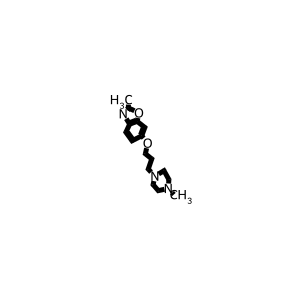 Cc1nc2ccc(OCCCN3CCN(C)CC3)cc2o1